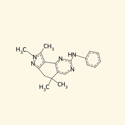 Cc1c2c(nn1C)CC(C)(C)c1cnc(Nc3ccccc3)nc1-2